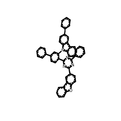 c1ccc(-c2ccc(-c3nc(-c4ccccc4)nc(-c4ccc5oc6ccccc6c5c4)n3)c(-n3c4ccccc4c4cc(-c5ccccc5)ccc43)c2)cc1